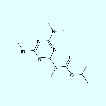 CNc1nc(N(C)C)nc(N(C)C(=O)OC(C)C)n1